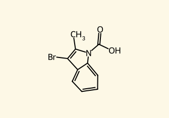 Cc1c(Br)c2ccccc2n1C(=O)O